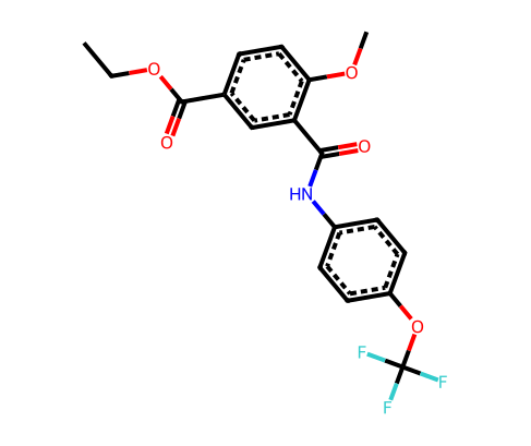 CCOC(=O)c1ccc(OC)c(C(=O)Nc2ccc(OC(F)(F)F)cc2)c1